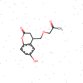 CC(=O)COCC1CC(=O)Oc2ccc(O)cc21